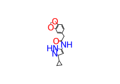 O=C(Cc1ccc2c(c1)OCO2)Nc1cc(C2CC2)n[nH]1